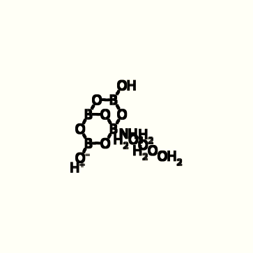 N.O.O.O.O.[H+].[O-]B1OB2OB(O)OB(O1)O2